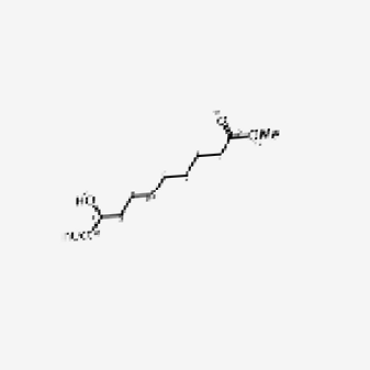 CCCCCCCCC(O)CCSCCCCC(=O)OC